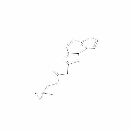 O=C(Cc1nc2cnc3[nH]ccc3c2[nH]1)NCC1(O)CC1